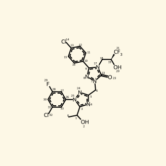 CC(O)c1nc(Cn2nc(-c3ccc(Cl)cc3)n(C[C@H](O)C(F)(F)F)c2=O)nn1-c1cc(F)cc(Cl)c1